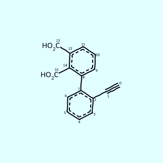 C#Cc1ccccc1-c1cccc(C(=O)O)c1C(=O)O